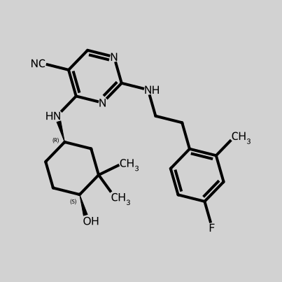 Cc1cc(F)ccc1CCNc1ncc(C#N)c(N[C@@H]2CC[C@H](O)C(C)(C)C2)n1